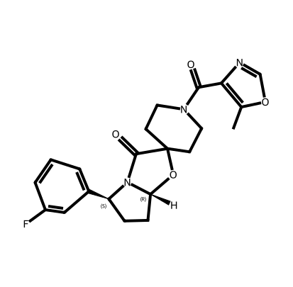 Cc1ocnc1C(=O)N1CCC2(CC1)O[C@@H]1CC[C@@H](c3cccc(F)c3)N1C2=O